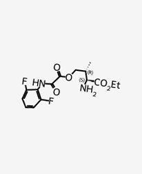 CCOC(=O)[C@@H](N)[C@@H](C)COC(=O)C(=O)Nc1c(F)cccc1F